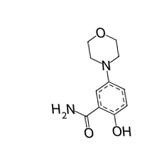 NC(=O)c1cc(N2CCOCC2)ccc1O